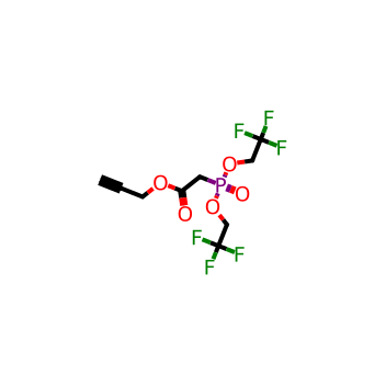 C#CCOC(=O)CP(=O)(OCC(F)(F)F)OCC(F)(F)F